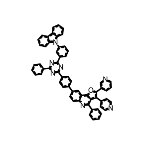 c1ccc(-c2nc(-c3ccc(-c4ccc5nc(-c6ccccc6)c6c(-c7ccncc7)c(-c7cccnc7)oc6c5c4)cc3)nc(-c3cccc(-n4c5ccccc5c5ccccc54)c3)n2)cc1